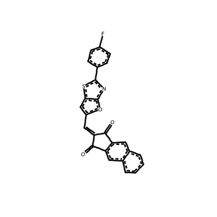 O=C1C(=Cc2cc3sc(-c4ccc(F)cc4)nc3o2)C(=O)c2cc3ccccc3cc21